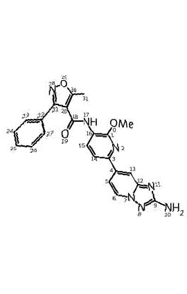 COc1nc(-c2ccn3nc(N)nc3c2)ccc1NC(=O)c1c(-c2ccccc2)noc1C